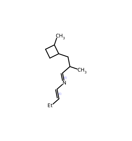 CC/C=C/N=C/C(C)CC1CCC1C